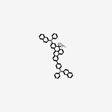 CC1(C)c2cc(N(c3ccccc3)c3ccc4ccccc4c3)ccc2-c2cc3ccc(-c4ccc(N(c5ccccc5)c5ccc6ccccc6c5)cc4)cc3c3cccc1c23